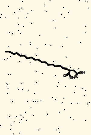 CCCCCCCCCCCCCCCCC=CC(CC(=O)O)C(=O)O